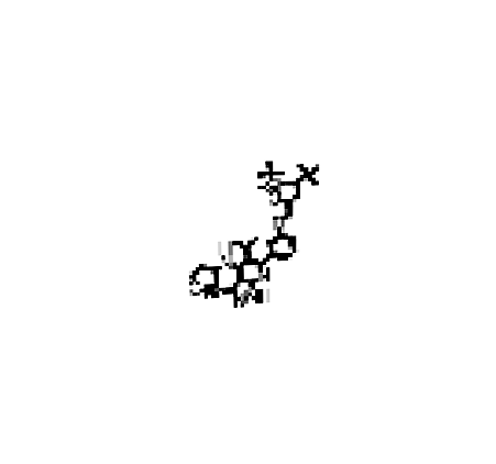 CC(C)c1c(-c2cccc(OCC(C[CH]C(C)(C)C)O[Si](C)(C)C(C)(C)C)c2)nc2[nH]nc(Br)c2c1NC1CCOCC1